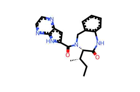 CC[C@H](C)[C@H]1C(=O)Nc2ccccc2CN1C(=O)c1cc2nccnc2[nH]1